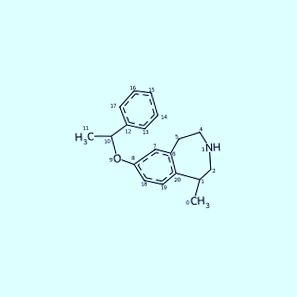 CC1CNCCc2cc(OC(C)c3ccccc3)ccc21